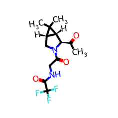 CC(=O)[C@@H]1[C@@H]2[C@H](CN1C(=O)CNC(=O)C(F)(F)F)C2(C)C